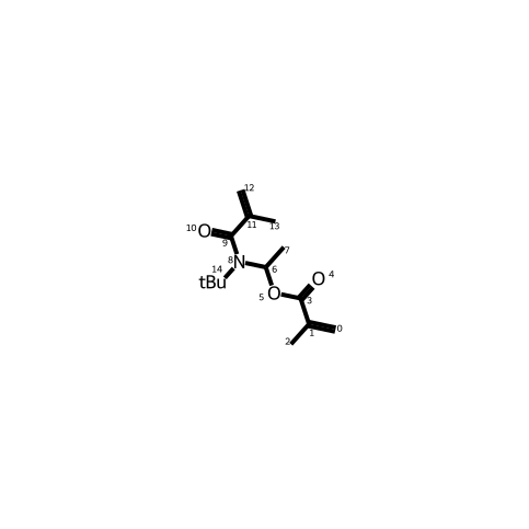 C=C(C)C(=O)OC(C)N(C(=O)C(=C)C)C(C)(C)C